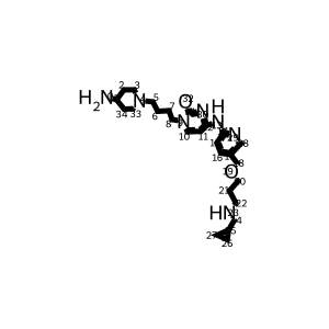 NC1CCN(CCCCn2ccc(Nc3ccc(COCCCNCC4CC4)cn3)nc2=O)CC1